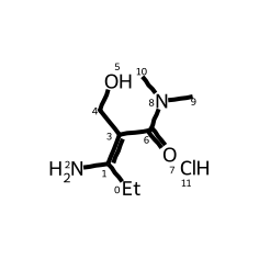 CCC(N)=C(CO)C(=O)N(C)C.Cl